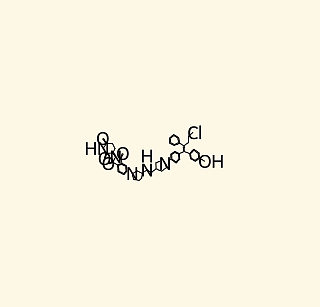 O=C1CCC(N2C(=O)c3ccc(N4CCC[C@H](NCC5CCN(c6ccc(C(=C(CCCl)c7ccccc7)c7ccc(O)cc7)cc6)CC5)C4)cc3C2=O)C(=O)N1